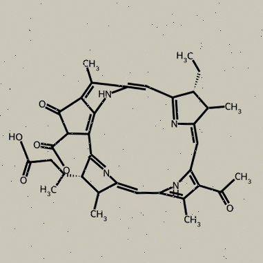 CC[C@H]1c2cc3[nH]c4c(c3C)C(=O)C(C(=O)OC)c4c3nc(cc4[nH]c(cc(n2)C1C)c(C(C)=O)c4C)C(C)[C@@H]3CCC(=O)O